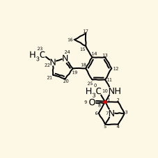 CC1CC2CC(C1)N2C(=O)Nc1ccc(C2CC2)c(-c2ccn(C)n2)c1